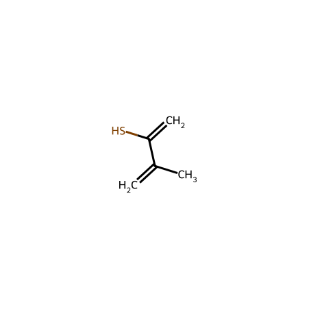 C=C(C)C(=C)S